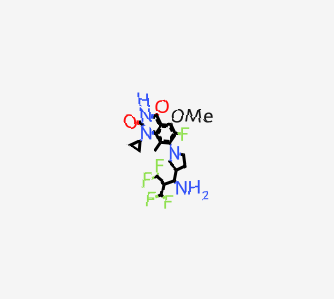 COc1c(F)c(N2CCC(C(N)C(C(F)F)C(F)F)C2)c(C)c2c1c(=O)[nH]c(=O)n2C1CC1